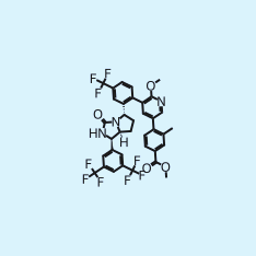 COC(=O)c1ccc(-c2cnc(OC)c(-c3ccc(C(F)(F)F)cc3[C@@H]3CC[C@H]4[C@@H](c5cc(C(F)(F)F)cc(C(F)(F)F)c5)NC(=O)N34)c2)c(C)c1